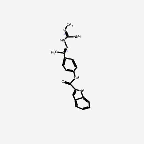 C/N=C(\NC)N/N=C(\C)c1ccc(NC(=O)c2cc3ccccc3[nH]2)cc1